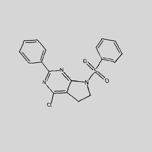 O=S(=O)(c1ccccc1)N1CCc2c(Cl)nc(-c3ccccc3)nc21